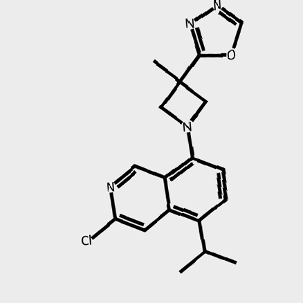 CC(C)c1ccc(N2CC(C)(c3nnco3)C2)c2cnc(Cl)cc12